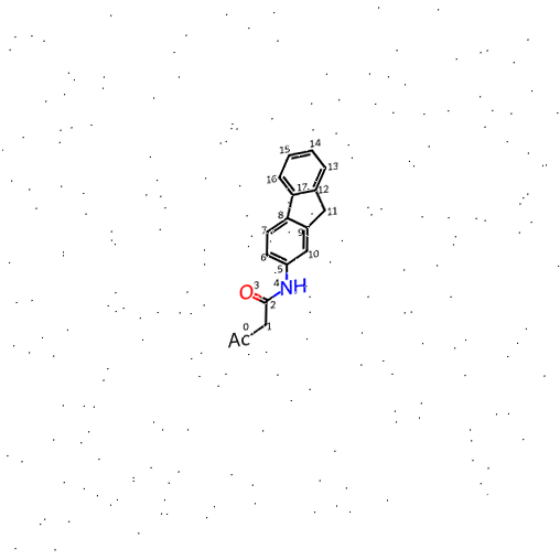 CC(=O)CC(=O)Nc1ccc2c(c1)Cc1ccccc1-2